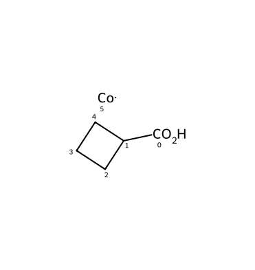 O=C(O)C1CCC1.[Co]